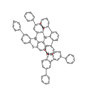 c1ccc(-c2ccc3c(c2)B2c4cc(-c5ccccc5)ccc4N(c4c(-c5ccccc5)cccc4-c4ccccc4)c4cc(-n5c6ccc(-c7ccccc7)cc6c6cc(-c7ccccc7)ccc65)cc(c42)S3)cc1